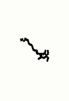 CO[Si](CC(C)NCCCCCCN)(OC)OC